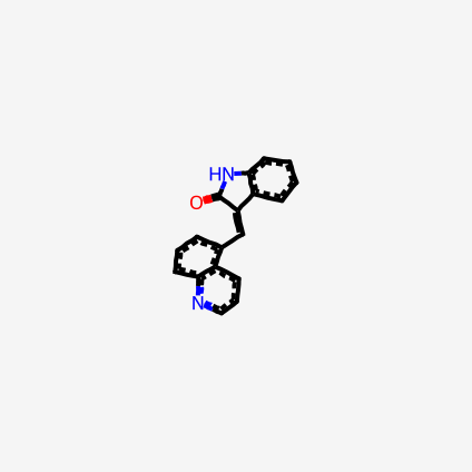 O=C1Nc2ccccc2C1=Cc1cccc2ncccc12